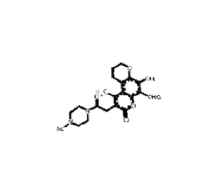 CC(=O)N1CCN(C(=O)Cc2c(C)c3c4c(c(O)c(C=O)c3oc2=O)OCCC4)CC1